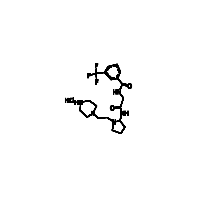 Cl.O=C(CNC(=O)c1cccc(C(F)(F)F)c1)NC1CCCN1CCN1CCNCC1